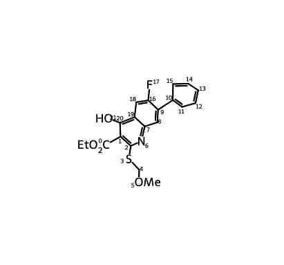 CCOC(=O)c1c(SCOC)nc2cc(-c3ccccc3)c(F)cc2c1O